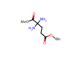 COC(=O)C(N)(N)CCC(=O)OC(C)(C)C